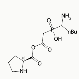 CCCCC(N)P(=O)(O)CC(=O)OC(=O)[C@@H]1CCCN1